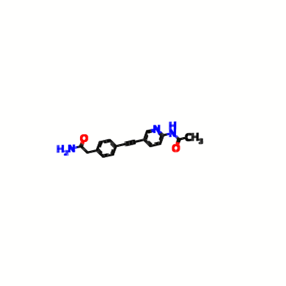 CC(=O)Nc1ccc(C#Cc2ccc(CC(N)=O)cc2)cn1